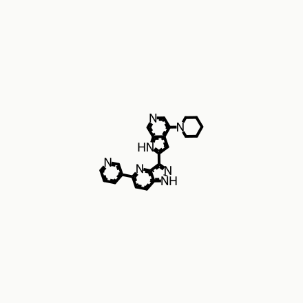 c1cncc(-c2ccc3[nH]nc(-c4cc5c(N6CCCCC6)cncc5[nH]4)c3n2)c1